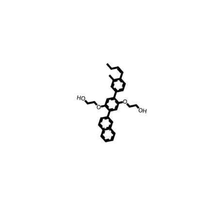 CC/C=C\c1ccc(-c2cc(OCCO)c(-c3ccc4ccccc4c3)cc2OCCO)cc1C